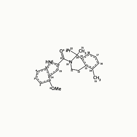 COc1cccc2[nH]c(C(=O)N3CCc4c(C)cccc4C3(C)C(C)C)cc12